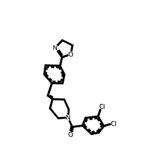 O=C(c1ccc(Cl)c(Cl)c1)N1CCC(=Cc2ccc(C3=NCCO3)cc2)CC1